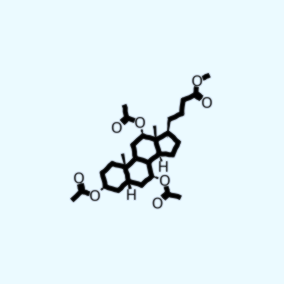 COC(=O)CCC[C@H]1CC[C@H]2C3C(C[C@H](OC(C)=O)[C@]12C)[C@@]1(C)CC[C@@H](OC(C)=O)C[C@H]1C[C@H]3OC(C)=O